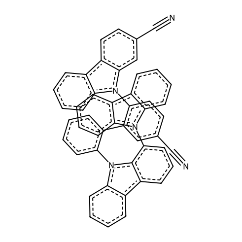 N#Cc1ccc(-n2c3ccccc3c3ccc(C#N)cc32)c(-c2ccccc2-n2c3ccccc3c3cccc(-n4c5ccccc5c5ccccc54)c32)c1